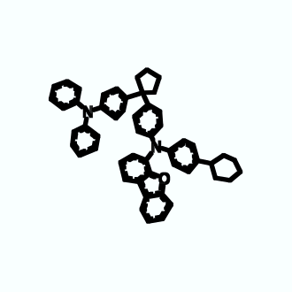 c1ccc(N(c2ccccc2)c2ccc(C3(c4ccc(N(c5ccc(C6CCCCC6)cc5)c5cccc6c5oc5ccccc56)cc4)CCCC3)cc2)cc1